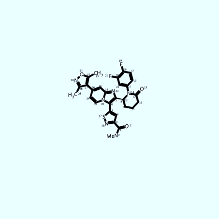 CNC(=O)c1cc(-c2c([C@@H]3CCCC(=O)N3c3ccc(F)c(F)c3)nc3cc(-c4c(C)noc4C)ccn23)sn1